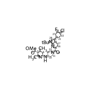 COC(=O)c1c(C)cc(NC2CCN(C(=O)c3ccc4c(-c5ccc(Cl)c(F)c5)cn(C(C)(C)C)c4n3)CC2)nc1C